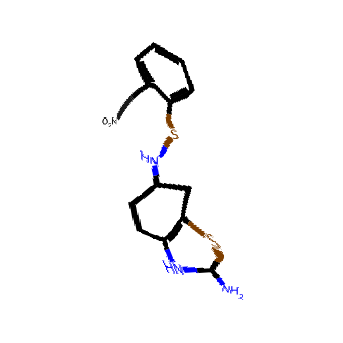 NC1NC2=C(CC(NSc3ccccc3[N+](=O)[O-])CC2)S1